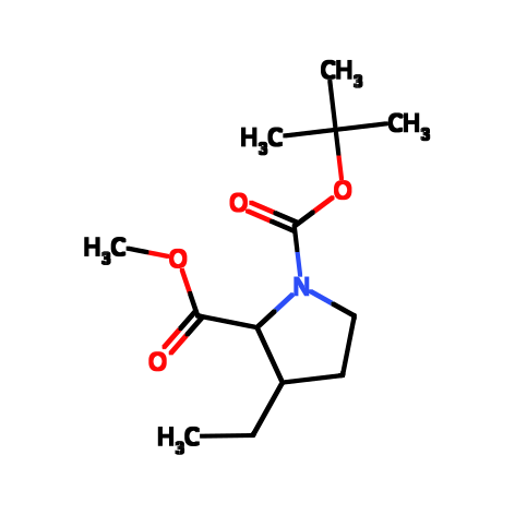 CCC1CCN(C(=O)OC(C)(C)C)C1C(=O)OC